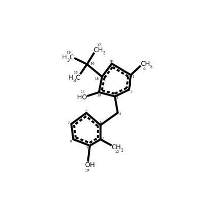 Cc1cc(Cc2cccc(O)c2C)c(O)c(C(C)(C)C)c1